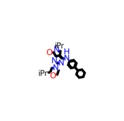 CC(C)C1CN(c2nc(Nc3ccc(C4CCCCC4)cc3)c3c(n2)C(=O)N(C(C)C)C3)CCO1